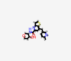 Cc1ccc(Cc2cc(C(=O)N[C@H]3COCC[C@@H]3O)nc3ccsc23)cn1